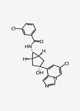 O=C(N[C@@H]1[C@@H]2C[C@@](O)(c3cc(Cl)cn4cncc34)C[C@@H]21)c1cccc(Cl)c1